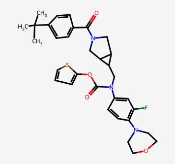 CC(C)(C)c1ccc(C(=O)N2CC3C(C2)C3CN(C(=O)Oc2cccs2)c2ccc(N3CCOCC3)c(F)c2)cc1